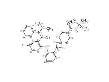 CC(C)N(C(=O)c1cc(F)ccc1Oc1cncnc1N1CC2(CCN(C(=O)OC(C)(C)C)CC2)C1)c1ccccc1